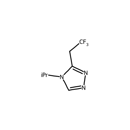 CC(C)n1cnnc1CC(F)(F)F